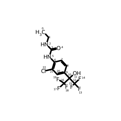 CCNC(=O)Nc1ccc(C(O)(C(F)(F)F)C(F)(F)F)cc1Cl